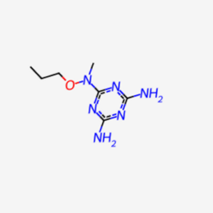 CCCON(C)c1nc(N)nc(N)n1